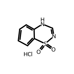 Cl.O=S1(=O)N=CNc2ccccc21